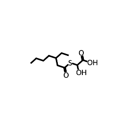 CCCCC(CC)CC(=O)SC(O)C(=O)O